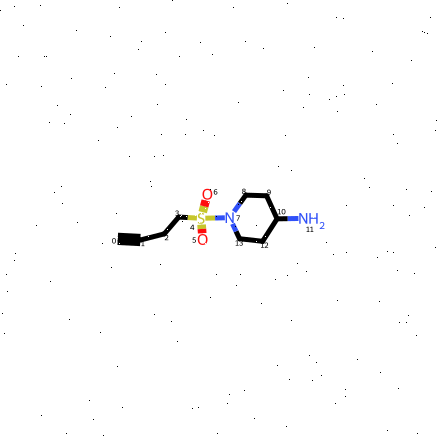 C#CCCS(=O)(=O)N1CCC(N)CC1